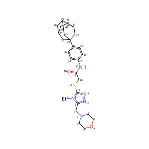 CCn1c(CN2CCOCC2)nnc1SCC(=O)Nc1ccc(C23CC4CCC(CC(C4)C2)C3)cc1